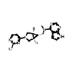 CN(C[C@@H]1[C@H]2CN(c3ccnc(Cl)n3)C[C@@H]12)c1ncnc2[nH]ccc12